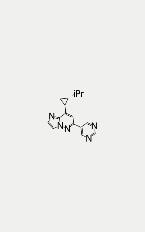 CC(C)[C@H]1C[C@@H]1c1cc(-c2cncnc2)nn2ccnc12